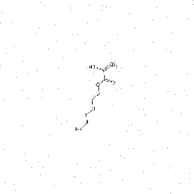 C=C(C)C(=O)OCCOCCS